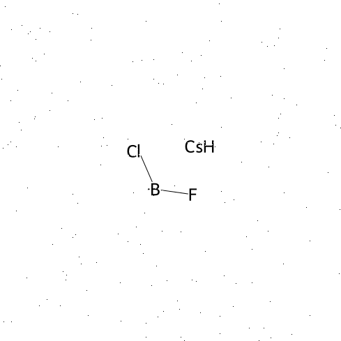 F[B]Cl.[CsH]